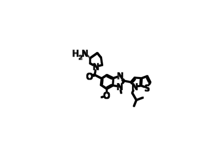 COc1cc(C(=O)N2CCC[C@@H](N)C2)cc2nc(-c3cc4ccsc4n3CC(C)C)n(C)c12